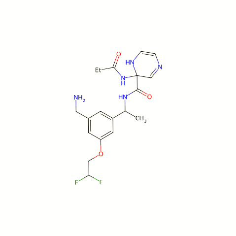 CCC(=O)NC1(C(=O)NC(C)c2cc(CN)cc(OCC(F)F)c2)C=NC=CN1